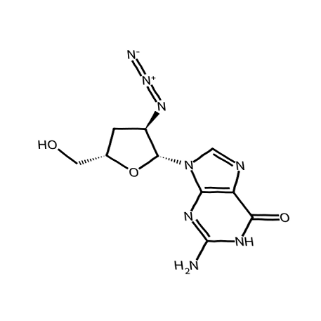 [N-]=[N+]=N[C@@H]1C[C@@H](CO)O[C@H]1n1cnc2c(=O)[nH]c(N)nc21